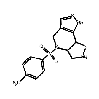 O=S(=O)(c1ccc(C(F)(F)F)cc1)N1Cc2cn[nH]c2C2SNCC21